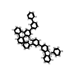 c1ccc(-c2cccc(-c3cc(-n4c5ccccc5c5cc(-c6ccc7c(c6)c6ccccc6n7-c6ccccc6)ccc54)c4c5ccccc5c5ccccc5c4c3)c2)cc1